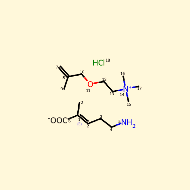 C/C(=C\CCN)C(=O)[O-].C=C(C)COCC[N+](C)(C)C.Cl